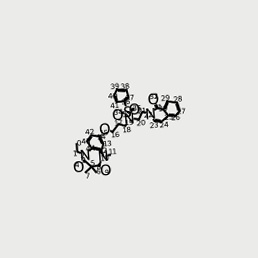 CCN1C(=O)C(C)(C)C(=O)N(C)c2cc(OCCCN(CCn3ccc4ccccc4c3=O)S(=O)(=O)c3ccccc3)ccc21